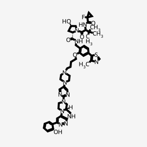 Cc1ncsc1-c1ccc(CNC(=O)[C@@H]2C[C@@H](O)CN2C(=O)C(NC(=O)C2(F)CC2)C(C)(C)C)c(OCCCCN2CCN(c3cnc(N4CCN5c6cc(-c7ccccc7O)nnc6NC[C@H]5C4)nc3)CC2)c1